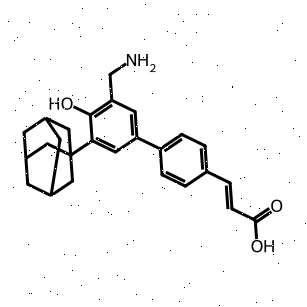 NCc1cc(-c2ccc(C=CC(=O)O)cc2)cc(C23CC4CC(CC(C4)C2)C3)c1O